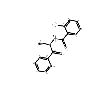 CC(C)(C)N(NC(=O)c1ccccc1C(F)(F)F)C(=O)c1ccccn1